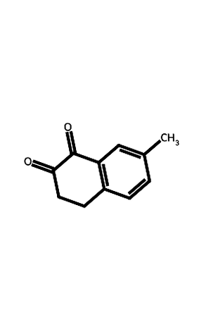 Cc1ccc2c(c1)C(=O)C(=O)CC2